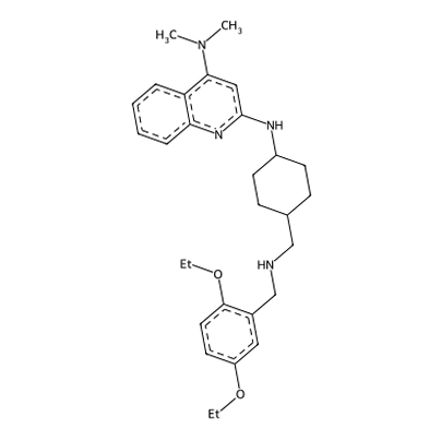 CCOc1ccc(OCC)c(CNCC2CCC(Nc3cc(N(C)C)c4ccccc4n3)CC2)c1